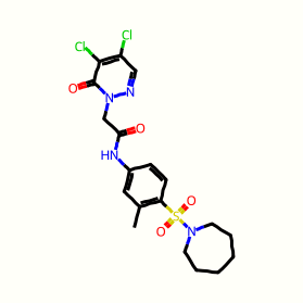 Cc1cc(NC(=O)Cn2ncc(Cl)c(Cl)c2=O)ccc1S(=O)(=O)N1CCCCCC1